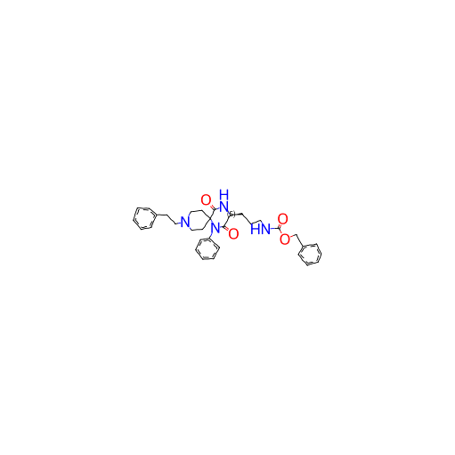 O=C(NCCC[C@@H]1NC(=O)C2(CCN(CCc3ccccc3)CC2)N(c2ccccc2)C1=O)OCc1ccccc1